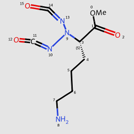 COC(=O)[C@H](CCCCN)N(N=C=O)N=C=O